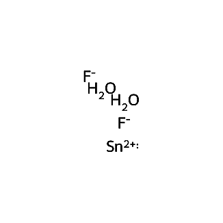 O.O.[F-].[F-].[Sn+2]